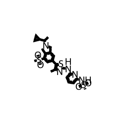 Cc1nc(Nc2cccc(NS(C)(=O)=O)n2)sc1-c1cc2c(c(S(C)(=O)=O)c1)CN(C(C)C1CC1)C2